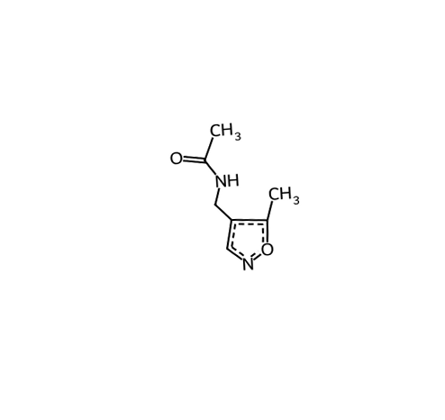 CC(=O)NCc1cnoc1C